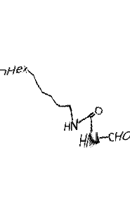 CCCCCCCCCCCNC(=O)N[C]=O